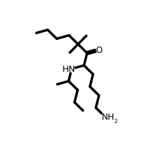 CCCCC(C)(C)C(=O)C(CCCCN)NC(C)CCC